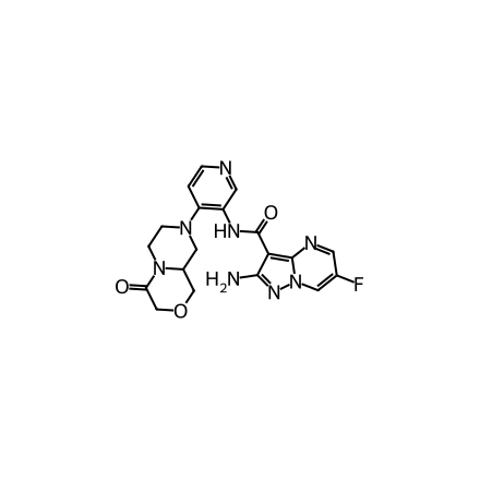 Nc1nn2cc(F)cnc2c1C(=O)Nc1cnccc1N1CCN2C(=O)COCC2C1